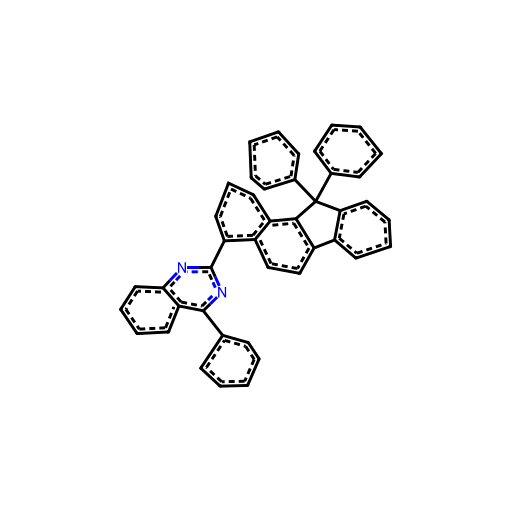 c1ccc(-c2nc(-c3cccc4c5c(ccc34)-c3ccccc3C5(c3ccccc3)c3ccccc3)nc3ccccc23)cc1